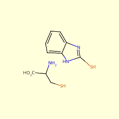 NC(CS)C(=O)O.Sc1nc2ccccc2[nH]1